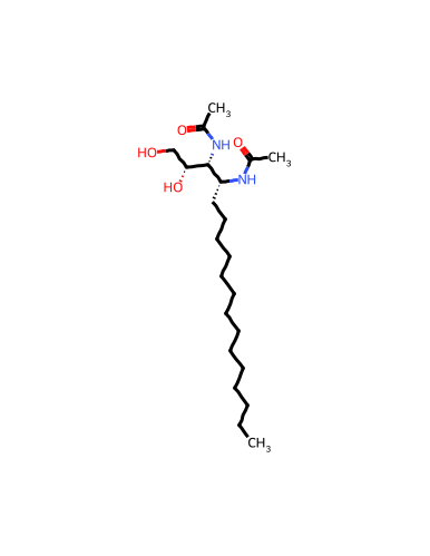 CCCCCCCCCCCCCC[C@@H](NC(C)=O)[C@@H](NC(C)=O)[C@H](O)CO